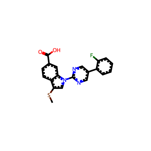 CSc1cn(-c2ncc(-c3ccccc3F)cn2)c2cc(C(=O)O)ccc12